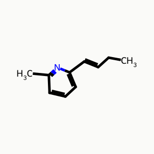 CCC=Cc1cccc(C)n1